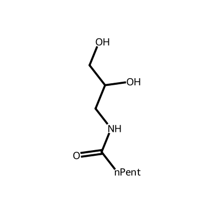 CCCCCC(=O)NCC(O)CO